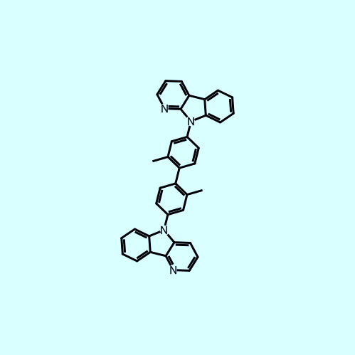 Cc1cc(-n2c3ccccc3c3ncccc32)ccc1-c1ccc(-n2c3ccccc3c3cccnc32)cc1C